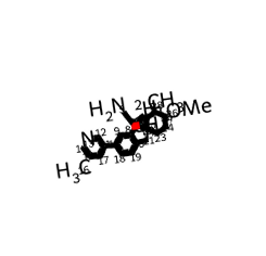 [2H]C1([2H])OC(N)=NC12c1cc(-c3cncc(C)c3)ccc1C[C@@]21CC[C@H](OC)[C@@H](C)C1